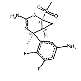 C[C@]1(c2cc(N)cc(F)c2F)N=C(N)S[C@@]2(S(C)(=O)=O)C[C@H]21